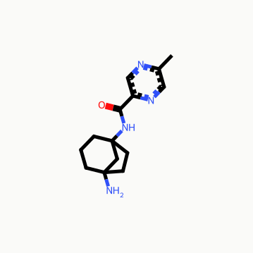 Cc1cnc(C(=O)NC23CCCC(N)(CC2)C3)cn1